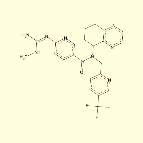 CN/C(N)=N\c1ccc(C(=O)N(Cc2ccc(C(F)(F)F)cn2)C2CCCc3nccnc32)cn1